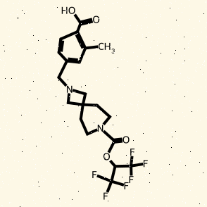 Cc1cc(CN2CC3(CCN(C(=O)OC(C(F)(F)F)C(F)(F)F)CC3)C2)ccc1C(=O)O